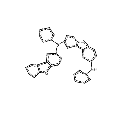 c1ccc(Nc2ccc3sc4ccc(N(c5ccccc5)c5ccc6oc7ccccc7c6c5)cc4c3c2)cc1